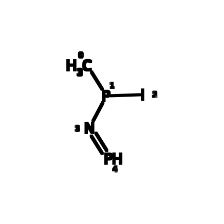 CP(I)N=P